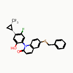 O=c1ccc2cc(SCc3ccccc3)ccc2n1-c1cc(F)c([C@@H]2C[C@@H]2C(F)(F)F)cc1O